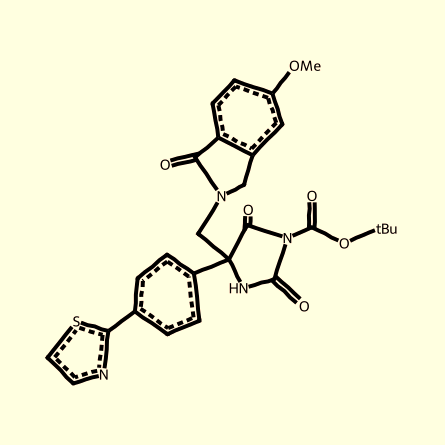 COc1ccc2c(c1)CN(CC1(c3ccc(-c4nccs4)cc3)NC(=O)N(C(=O)OC(C)(C)C)C1=O)C2=O